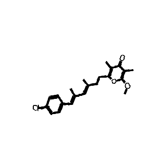 COc1oc(CC/C(C)=C/C(C)=C/c2ccc(Cl)cc2)c(C)c(=O)c1C